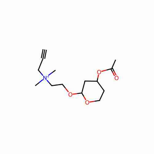 C#CC[N+](C)(C)CCOC1CC(OC(C)=O)CCO1